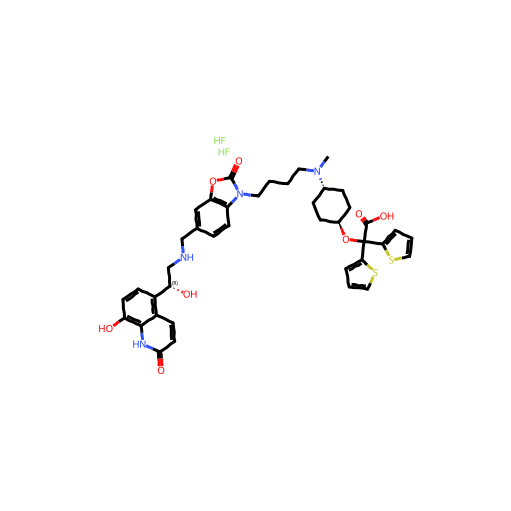 CN(CCCCn1c(=O)oc2cc(CNC[C@H](O)c3ccc(O)c4[nH]c(=O)ccc34)ccc21)[C@H]1CC[C@H](OC(C(=O)O)(c2cccs2)c2cccs2)CC1.F.F